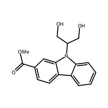 COC(=O)c1ccc2c3ccccc3n(C(CO)CO)c2c1